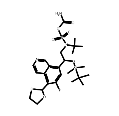 CC(C)(C)N(CC(O[Si](C)(C)C(C)(C)C)c1cc(F)c(C2OCCO2)c2ccncc12)S(=O)(=O)OC(N)=O